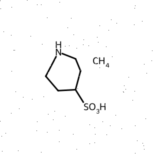 C.O=S(=O)(O)C1CCNCC1